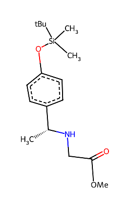 COC(=O)CN[C@H](C)c1ccc(O[Si](C)(C)C(C)(C)C)cc1